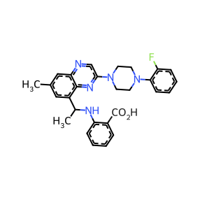 Cc1cc(C(C)Nc2ccccc2C(=O)O)c2nc(N3CCN(c4ccccc4F)CC3)cnc2c1